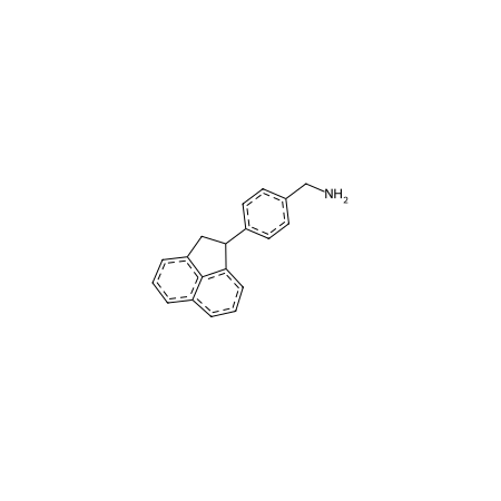 NCc1ccc(C2Cc3cccc4cccc2c34)cc1